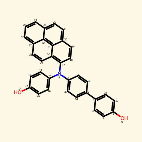 Oc1ccc(-c2ccc(N(c3ccc(O)cc3)c3ccc4ccc5cccc6ccc3c4c56)cc2)cc1